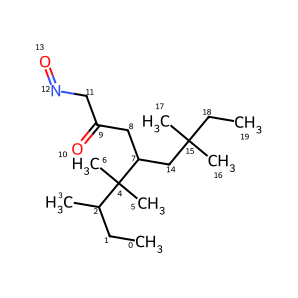 CCC(C)C(C)(C)C(CC(=O)CN=O)CC(C)(C)CC